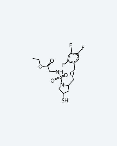 CCOC(=O)CNS(=O)(=O)N1CC(S)CC1COCc1cc(F)c(F)cc1F